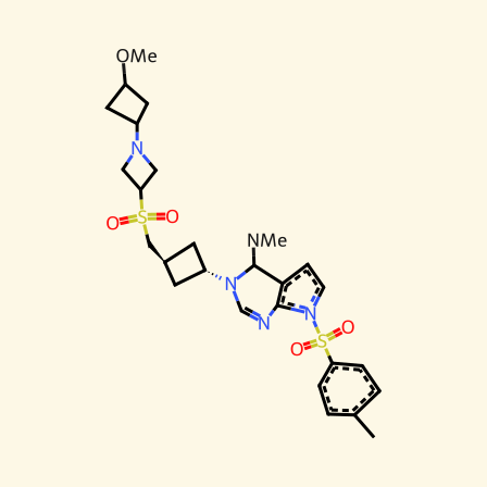 CNC1c2ccn(S(=O)(=O)c3ccc(C)cc3)c2N=CN1[C@H]1C[C@H](CS(=O)(=O)C2CN(C3CC(OC)C3)C2)C1